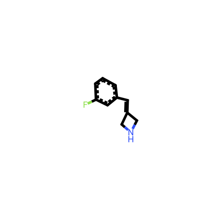 Fc1cccc(C=C2CNC2)c1